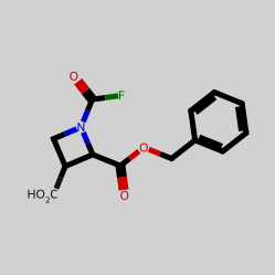 O=C(O)C1CN(C(=O)F)C1C(=O)OCc1ccccc1